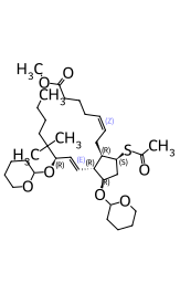 CCCCC(C)(C)[C@@H](/C=C/[C@@H]1[C@@H](C/C=C\CCCC(=O)OC)[C@@H](SC(C)=O)C[C@H]1OC1CCCCO1)OC1CCCCO1